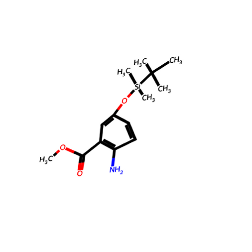 COC(=O)c1cc(O[Si](C)(C)C(C)(C)C)ccc1N